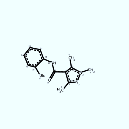 Cc1nn(C)c(C)c1C(=O)Nc1ccccc1C(C)(C)C